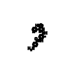 Cc1cc(NC(=O)c2ccc(N)cc2)ccc1Nc1nc(-c2cccnc2)c2[nH]ccc2n1